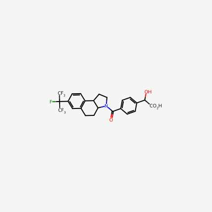 O=C(O)C(O)c1ccc(C(=O)N2CCC3c4ccc(C(F)(C(F)(F)F)C(F)(F)F)cc4CCC32)cc1